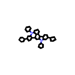 C1=CC(c2ccc3c(c2)N(c2ccccc2)c2cccc4c2c-3cc2c4c3ccc(-c4ccccc4)cc3n2-c2ccccc2)=CCC1